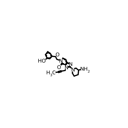 CC#CCn1c(N2CCCC(N)C2)nc2ccn(CC(=O)c3cccc(O)c3)c(=O)c21